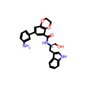 Nc1cccc(-c2cc3c(c(C(=O)N[C@@H](CO)Cc4c[nH]c5ccccc45)c2)OCCO3)c1